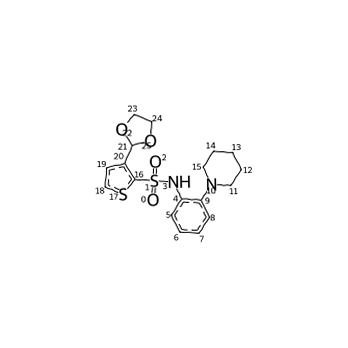 O=S(=O)(Nc1ccccc1N1CCCCC1)c1sccc1C1OCCO1